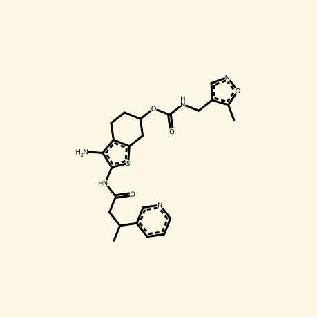 Cc1oncc1CNC(=O)OC1CCc2c(sc(NC(=O)CC(C)c3cccnc3)c2N)C1